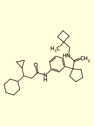 C=C(NCC1(C)CCC1)C1(c2cccc(NC(=O)CC(C3CCCCC3)C3CC3)c2)CCCC1